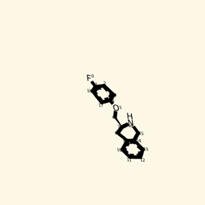 Fc1ccc(OC[C@@H]2Cc3ccccc3CN2)cc1